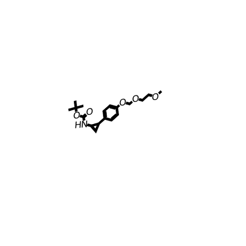 COCCOCOc1ccc(C2CC2NC(=O)OC(C)(C)C)cc1